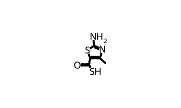 Cc1nc(N)sc1C(=O)S